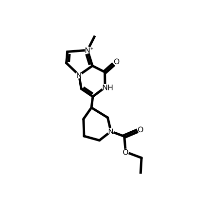 CCOC(=O)N1CCCC(c2cn3cc[n+](C)c3c(=O)[nH]2)C1